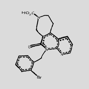 O=C(O)N1CCc2c(c(=O)n(Cc3ccccc3Br)c3ncccc23)C1